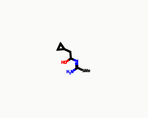 CS/C(N)=N/C(O)CC1CC1